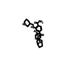 CC(=O)c1ccc(N2C3CCC2CC(NC(=O)c2ccc(C(N)=O)c(NCC4CCCNC4)c2)C3)nc1